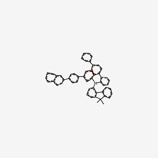 CC1(C)c2ccccc2-c2c(N(c3cccc(-c4ccc(-c5ccc6ccccc6c5)cc4)c3)c3ccccc3-c3ccc(-c4ccccc4)cc3)cccc21